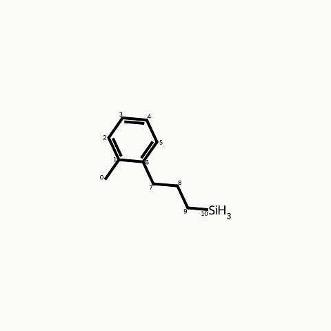 Cc1ccccc1CCC[SiH3]